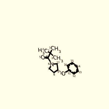 CC(C)(C)C(=O)N1CC[C@@H](Oc2cc[c]cc2)C1